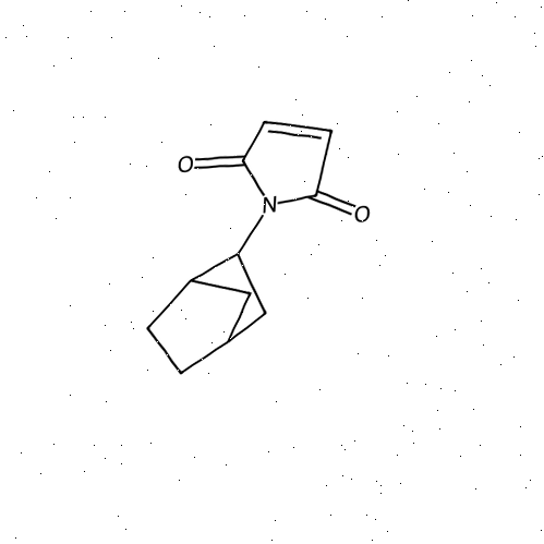 O=C1C=CC(=O)N1C1CC2CCC1C2